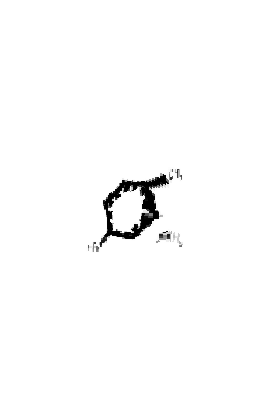 [AlH3].[CH2]CCc1ccc(C)cc1